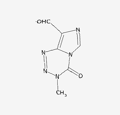 Cn1nnc2c([C]=O)ncn2c1=O